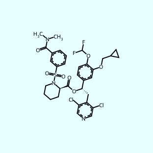 CN(C)C(=O)c1cccc(S(=O)(=O)N2CCCC[C@@H]2C(=O)O[C@@H](Cc2c(Cl)cncc2Cl)c2ccc(OC(F)F)c(OCC3CC3)c2)c1